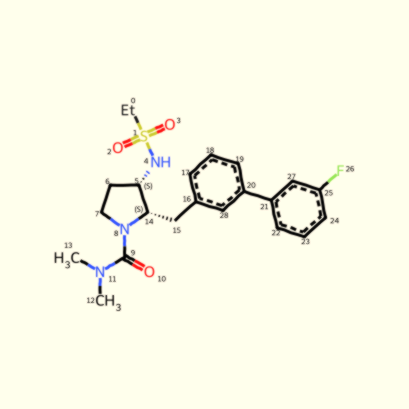 CCS(=O)(=O)N[C@H]1CCN(C(=O)N(C)C)[C@H]1Cc1cccc(-c2cccc(F)c2)c1